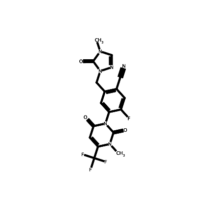 Cn1cnn(Cc2cc(-n3c(=O)cc(C(F)(F)F)n(C)c3=O)c(F)cc2C#N)c1=O